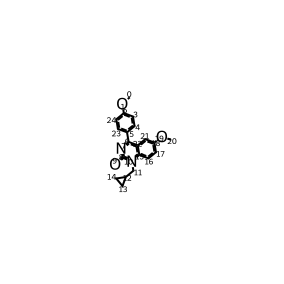 COc1ccc(-c2nc(=O)n(CC3CC3)c3ccc(OC)cc23)cc1